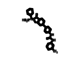 O=C(Nc1ccc(-c2ccc3c(c2)CN([C@H](C(=O)O)c2ccccc2)C3=O)cc1)Nc1cccc(C(F)(F)F)c1